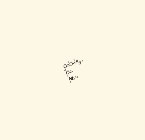 [Ag+].[Nb+5].[O-2].[O-2].[O-2]